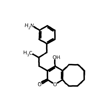 CC(Cc1cccc(N)c1)Cc1c(O)c2c(oc1=O)CCCCCC2